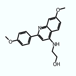 COc1ccc(-c2cc(NCCO)c3ccc(OC)cc3n2)cc1